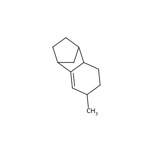 CC1C=C2C3CCC(C3)C2CC1